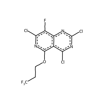 Fc1c(Cl)nc(OCCC(F)(F)F)c2c(Cl)nc(Cl)nc12